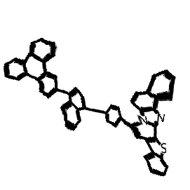 c1ccc2c(c1)ccc1c2nc2c3sc4ccccc4c3cc(-c3ccc(-c4ccc(-c5ccc6c7ccccc7c7ccccc7c6c5)c5ccccc45)cc3)n12